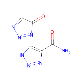 NC(=O)c1c[nH]nn1.O=C1C=NN=N1